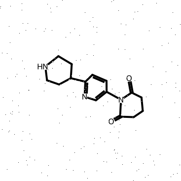 O=C1CCCC(=O)N1c1ccc(C2CCNCC2)nc1